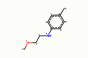 COCCNc1ccc(C)cc1